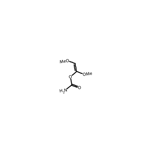 COC=C(OC)OC(N)=O